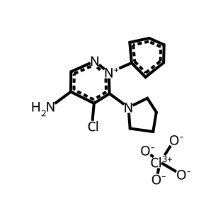 Nc1cn[n+](-c2ccccc2)c(N2CCCC2)c1Cl.[O-][Cl+3]([O-])([O-])[O-]